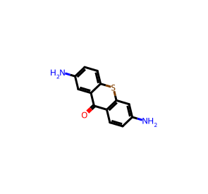 Nc1ccc2c(=O)c3cc(N)ccc3sc2c1